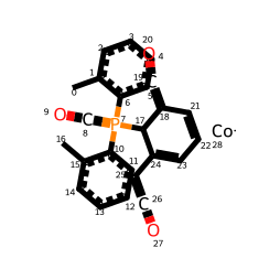 Cc1ccccc1P(=C=O)(c1ccccc1C)C1C(=C=O)C=CC=C1C=C=O.[Co]